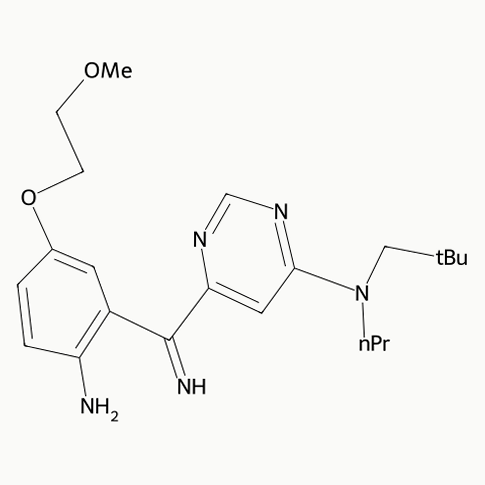 CCCN(CC(C)(C)C)c1cc(C(=N)c2cc(OCCOC)ccc2N)ncn1